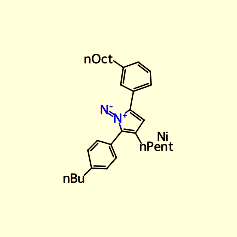 CCCCCCCCc1cccc(C2=CC(CCCCC)=C(c3ccc(CCCC)cc3)[N+]2=[N-])c1.[Ni]